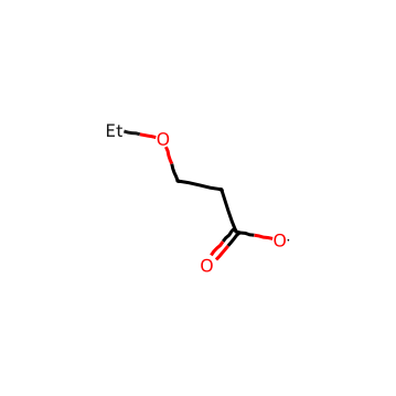 CCOCCC([O])=O